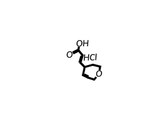 Cl.O=C(O)C=CC1C=CCOCC1